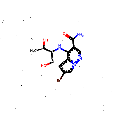 C[C@@H](O)C(CO)Nc1c(C(N)=O)cnn2cc(Br)cc12